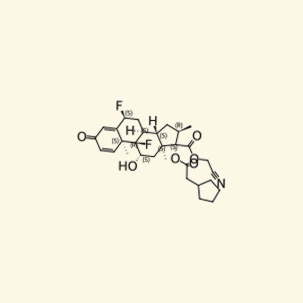 C[C@@H]1C[C@H]2[C@@H]3C[C@H](F)C4=CC(=O)C=C[C@]4(C)[C@@]3(F)[C@@H](O)C[C@]2(C)[C@]1(OC(=O)CC1CCCC1)C(=O)OCC#N